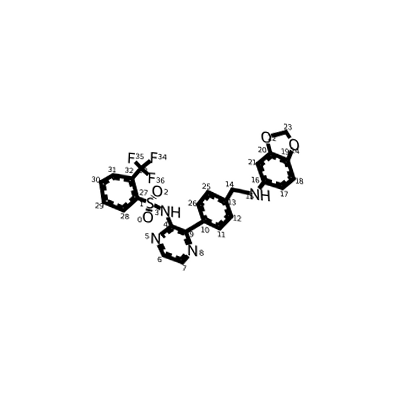 O=S(=O)(Nc1nccnc1-c1ccc(CNc2ccc3c(c2)OCO3)cc1)c1ccccc1C(F)(F)F